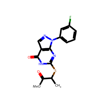 COC(=O)C(C)Sc1nc2c(cnn2-c2cccc(F)c2)c(=O)[nH]1